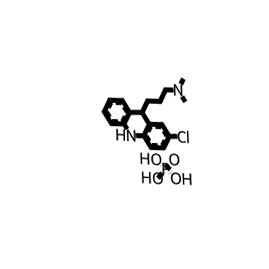 CN(C)CCCC1c2ccccc2Nc2ccc(Cl)cc21.O=P(O)(O)O